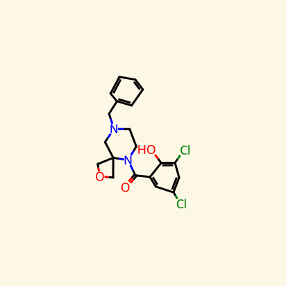 O=C(c1cc(Cl)cc(Cl)c1O)N1CCN(Cc2ccccc2)CC12COC2